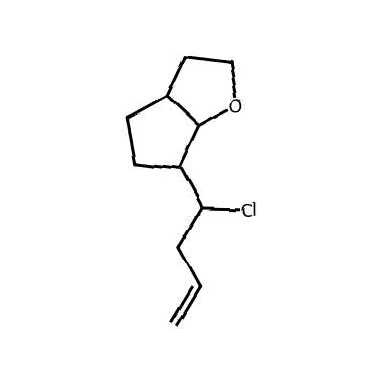 C=CCC(Cl)C1CCC2CCOC21